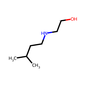 CC(C)CCNC[CH]O